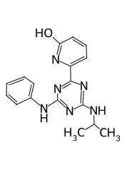 CC(C)Nc1nc(Nc2ccccc2)nc(-c2cccc(O)n2)n1